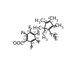 CC1=C(C)C(C)(C)[C]([Ti+3])=C1C.O=C([O-])c1c(F)c(F)c(F)c(F)c1F.[F-].[F-]